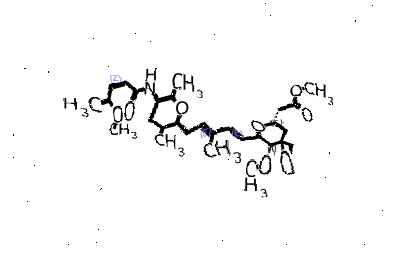 COC(=O)C[C@@H]1CC2(CO2)[C@H](OC)C(/C=C/C(C)=C/CC2OC(C)C(NC(=O)/C=C\C(C)OC)CC2C)O1